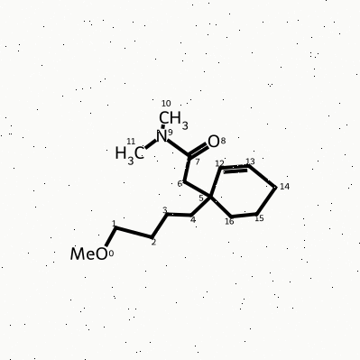 COCCCCC1(CC(=O)N(C)C)C=CCCC1